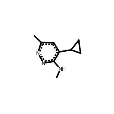 CNc1nnc(C)cc1C1CC1